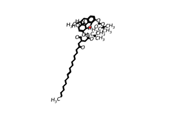 CCCCCCCCC=CCCCCCCCC(=O)CC(CC(=O)OC(C)(C)C)C(=O)OC1=CC[C@@]2(O)[C@H]3Cc4ccc(OC(=O)OC(C)(C)C)c5c4[C@@]2(CCN3C)[C@H]1O5